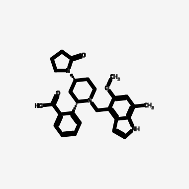 COc1cc(C)c2[nH]ccc2c1CN1CC[C@@H](N2CCCC2=O)C[C@H]1c1ccccc1C(=O)O